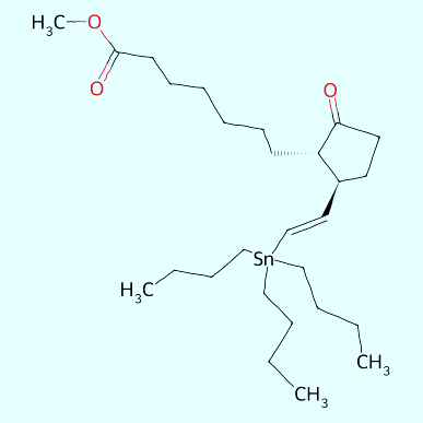 CCC[CH2][Sn]([CH]=C[C@@H]1CCC(=O)[C@H]1CCCCCCC(=O)OC)([CH2]CCC)[CH2]CCC